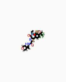 CCN(CC)C(=O)c1nc(C(=O)N[C@H]2CC23CCOCC3)sc1-c1ccc(C(C)(O)C(F)(F)F)c(Cl)c1Cl